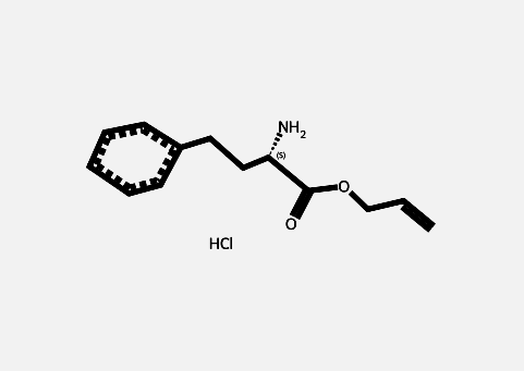 C=CCOC(=O)[C@@H](N)CCc1ccccc1.Cl